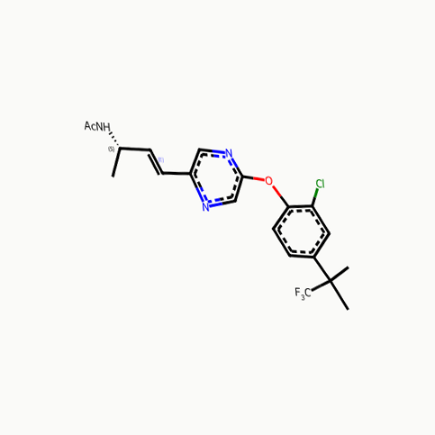 CC(=O)N[C@@H](C)/C=C/c1cnc(Oc2ccc(C(C)(C)C(F)(F)F)cc2Cl)cn1